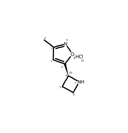 Cc1cc([C@@H]2CCN2)on1.Cl